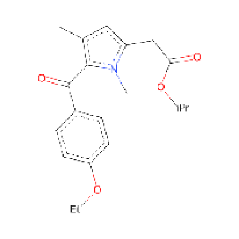 CCOc1ccc(C(=O)c2c(C)cc(CC(=O)OC(C)C)n2C)cc1